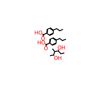 CCC(O)C(C)C(C)O.CCCc1ccc(C(=O)O)cc1.CCCc1ccc(C(=O)O)cc1